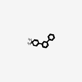 [2H]C1([2H])C=CC(c2cccc(-c3ccccc3)c2)=CC1